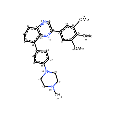 COc1cc(-c2cnc3cccc(-c4c[c]c(N5CCN(C)CC5)cc4)c3n2)cc(OC)c1OC